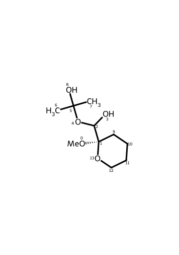 CO[C@]1(C(O)OC(C)(C)O)CCCCO1